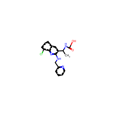 CC(NC(=O)O)c1cc2cccc(Cl)c2nc1NCc1ccccn1